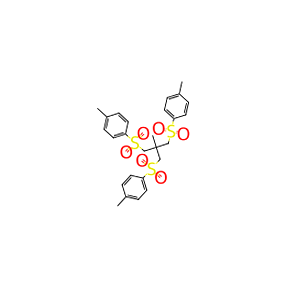 Cc1ccc(S(=O)(=O)CC(C)(CS(=O)(=O)c2ccc(C)cc2)CS(=O)(=O)c2ccc(C)cc2)cc1